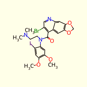 COc1cc(I)c(N(CCN(C)C)C(=O)c2c(Br)cnc3cc4c(cc23)OCO4)cc1OC